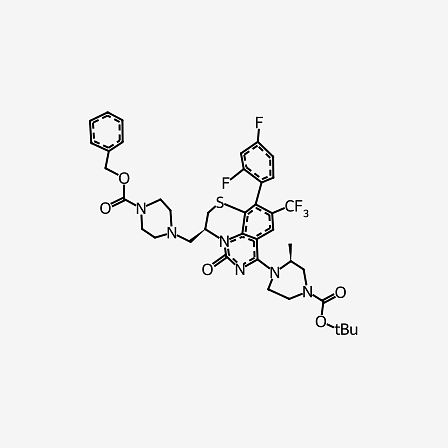 C[C@H]1CN(C(=O)OC(C)(C)C)CCN1c1nc(=O)n2c3c(c(-c4ccc(F)cc4F)c(C(F)(F)F)cc13)SC[C@@H]2CN1CCN(C(=O)OCc2ccccc2)CC1